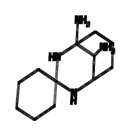 NC1C2CCCC1(N)NC1(CCCCC1)N2